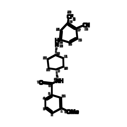 COc1cccc(C(=O)N[C@H]2CC[C@@H](Nc3ccc(C#N)c(C(F)(F)F)c3)CC2)c1